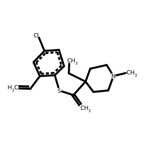 C=Cc1cc(Cl)ccc1SC(=C)C1(CC)CCN(C)CC1